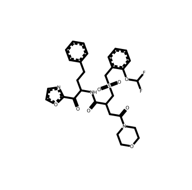 O=C(NC(CCc1ccccc1)C(=O)c1ncco1)C(CC(=O)N1CCOCC1)CS(=O)(=O)Cc1ccccc1OC(F)F